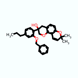 CCCc1ccc(C2(O)COc3c(ccc4c3C=CC(C)(C)O4)C2)c(OCc2ccccc2)c1